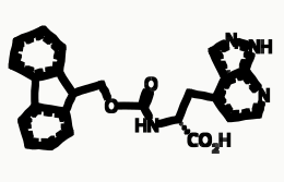 O=C(N[C@H](Cc1ccnc2[nH]ncc12)C(=O)O)OCC1c2ccccc2-c2ccccc21